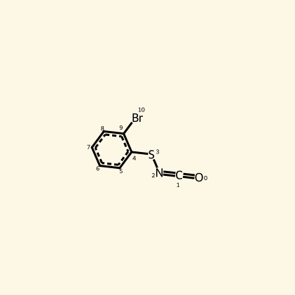 O=C=NSc1ccccc1Br